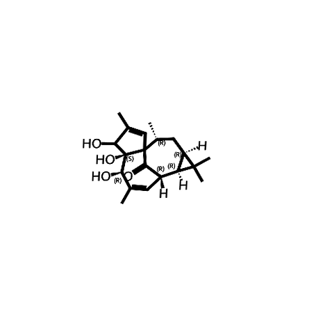 CC1=CC23C(=O)[C@@H](C=C(C)[C@@H](O)[C@]2(O)C1O)[C@H]1[C@@H](C[C@H]3C)C1(C)C